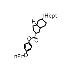 CCCCCCCC1CCC2C[C@H](C(=O)Oc3ccc(OCCC)cc3)CC[C@@H]2C1